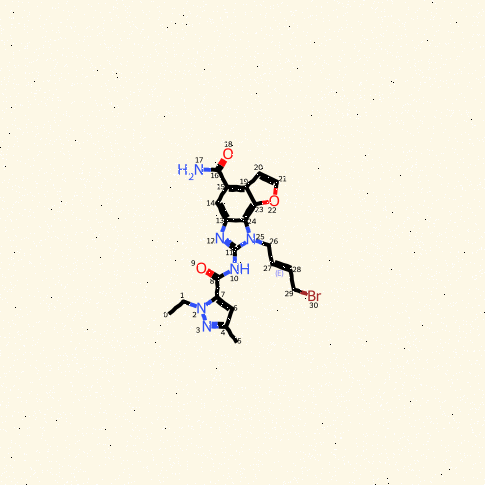 CCn1nc(C)cc1C(=O)Nc1nc2cc(C(N)=O)c3ccoc3c2n1C/C=C/CBr